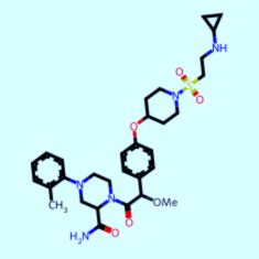 COC(C(=O)N1CCN(c2ccccc2C)CC1C(N)=O)c1ccc(OC2CCN(S(=O)(=O)CCNC3CC3)CC2)cc1